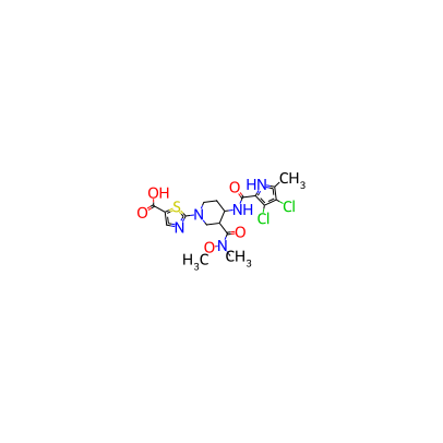 CON(C)C(=O)C1CN(c2ncc(C(=O)O)s2)CCC1NC(=O)c1[nH]c(C)c(Cl)c1Cl